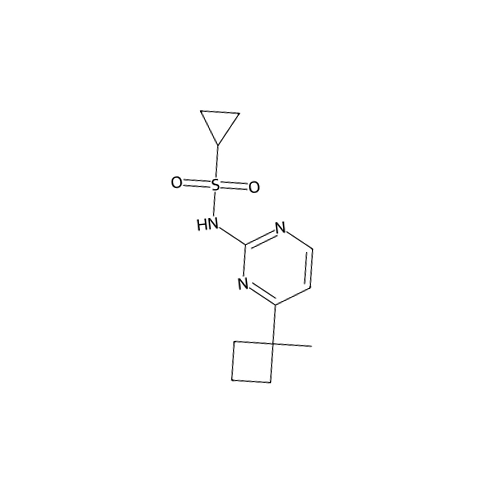 CC1(c2ccnc(NS(=O)(=O)C3CC3)n2)CCC1